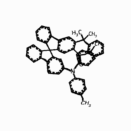 Cc1ccc(N(c2ccc(C)cc2)c2ccc3c(c2)C2(c4ccccc4-3)c3ccccc3-c3cc4c(cc32)C(=O)c2ccccc2C4(C)C)cc1